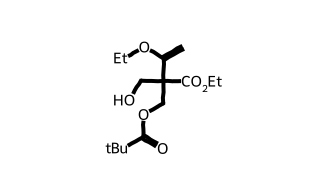 C=C(OCC)C(CO)(COC(=O)C(C)(C)C)C(=O)OCC